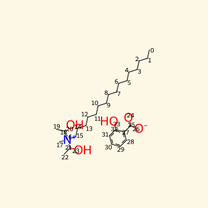 CCCCCCCCCCCCCCCC[N+](C)(C(C)O)C(C)O.O=C([O-])c1ccccc1O